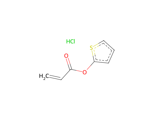 C=CC(=O)Oc1cccs1.Cl